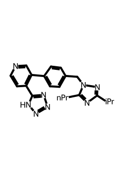 CCCc1nc(C(C)C)nn1Cc1ccc(-c2cnccc2-c2nnn[nH]2)cc1